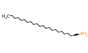 CCCCCCCCCCCCCCCCCCCCCC#CP